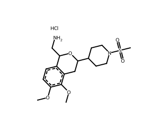 COc1ccc2c(c1OC)CC(C1CCN(S(C)(=O)=O)CC1)OC2CN.Cl